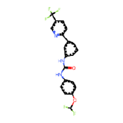 O=C(Nc1ccc(OC(F)F)cc1)Nc1cccc(-c2ccc(C(F)(F)F)cn2)c1